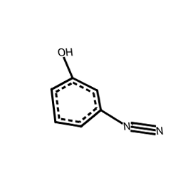 N#[N+]c1cccc(O)c1